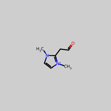 Cn1cc[n+](C)c1CC=O